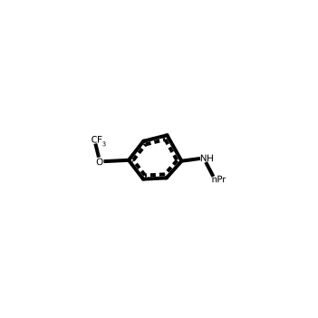 CCCNc1ccc(OC(F)(F)F)cc1